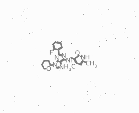 Cc1cc(C)c(CNc2nc(-c3ccccc3F)nc3c2ncn3C2CCCCO2)c(=O)[nH]1